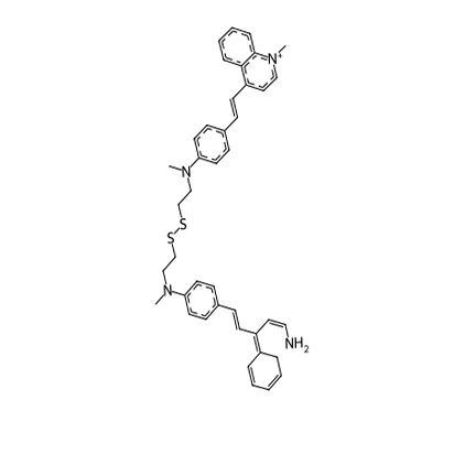 CN(CCSSCCN(C)c1ccc(/C=C/c2cc[n+](C)c3ccccc23)cc1)c1ccc(/C=C/C(/C=C\N)=C2\C=CC=CC2)cc1